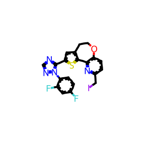 Fc1ccc(-n2ncnc2-c2cc3c(s2)-c2nc(CI)ccc2OCC3)c(F)c1